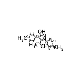 Cc1ccc(-c2c(O)nn(-c3ccc(C)cc3)c2C(C)C)cc1